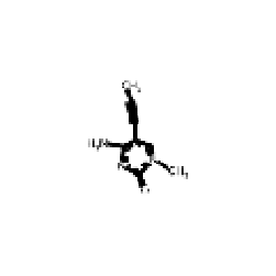 CC#Cc1cn(C)c(=O)nc1N